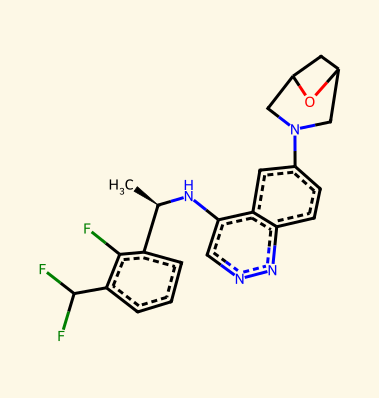 C[C@@H](Nc1cnnc2ccc(N3CC4CC(C3)O4)cc12)c1cccc(C(F)F)c1F